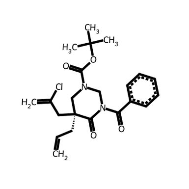 C=CC[C@]1(CC(=C)Cl)CN(C(=O)OC(C)(C)C)CN(C(=O)c2ccccc2)C1=O